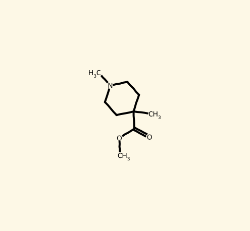 COC(=O)C1(C)CCN(C)CC1